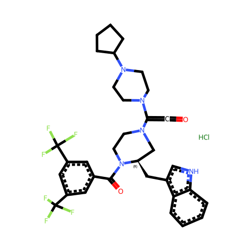 Cl.O=C=C(N1CCN(C2CCCC2)CC1)N1CCN(C(=O)c2cc(C(F)(F)F)cc(C(F)(F)F)c2)[C@H](Cc2c[nH]c3ccccc23)C1